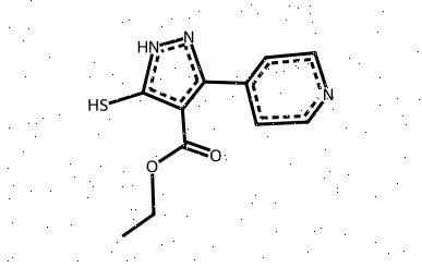 CCOC(=O)c1c(-c2ccncc2)n[nH]c1S